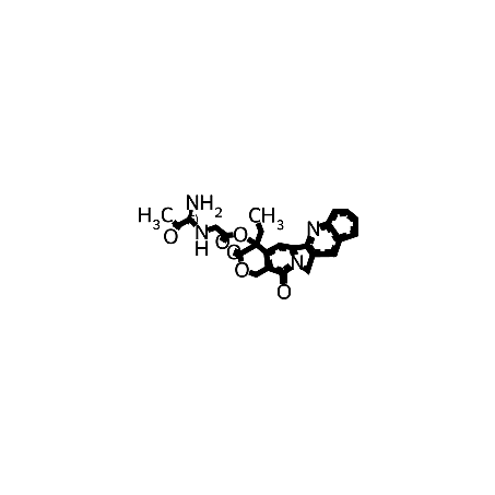 CCC1(OC(=O)CN[C@H](N)C(C)=O)C(=O)OCc2c1cc1n(c2=O)Cc2cc3ccccc3nc2-1